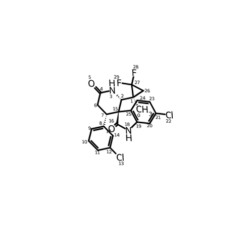 C[C@@]1([C@H]2NC(=O)C[C@@H](c3cccc(Cl)c3)[C@]23C(=O)Nc2cc(Cl)ccc23)CC1(F)F